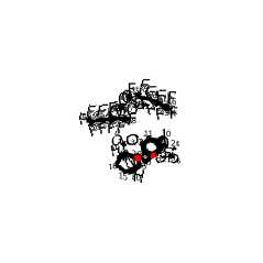 COC(=O)[C@H]1[C@@H](c2ccc(I)cc2)C[C@@H]2CC[C@H]1N2CCCOS(C)(=O)=O.O=S(=O)(OS(=O)(=O)C(F)(F)C(F)(F)C(F)(F)C(F)(F)F)C(F)(F)C(F)(F)C(F)(F)C(F)(F)F